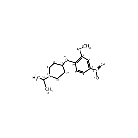 COc1cc([N+](=O)[O-])ccc1OC1CCN(C(C)C)CC1